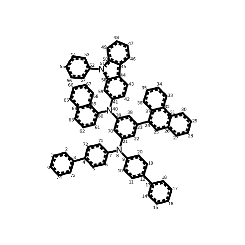 c1ccc(-c2ccc(N(c3ccc(-c4ccccc4)cc3)c3cc(-c4cc5ccccc5c5ccccc45)cc(N(c4ccc5c6ccccc6n(-c6ccccc6)c5c4)c4cccc5ccccc45)c3)cc2)cc1